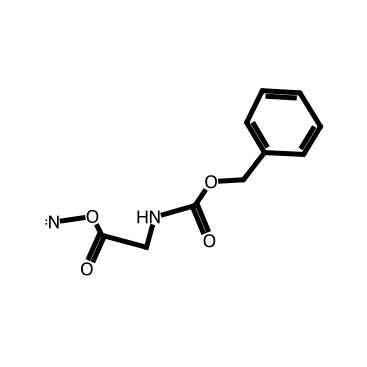 [N]OC(=O)CNC(=O)OCc1ccccc1